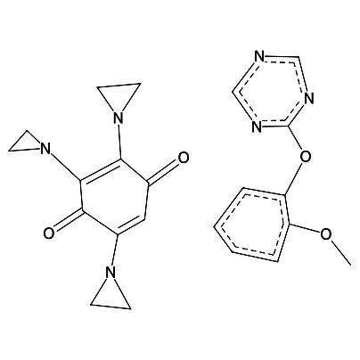 COc1ccccc1Oc1ncncn1.O=C1C=C(N2CC2)C(=O)C(N2CC2)=C1N1CC1